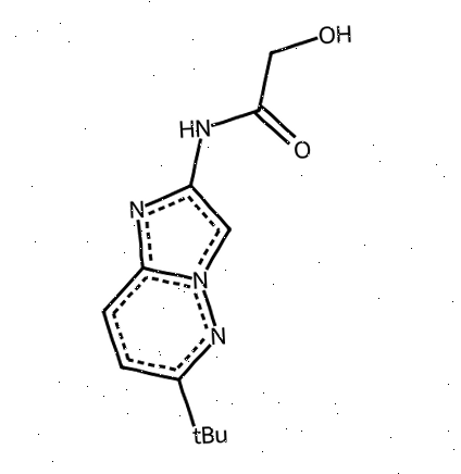 CC(C)(C)c1ccc2nc(NC(=O)CO)cn2n1